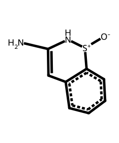 NC1=Cc2ccccc2[S+]([O-])N1